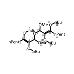 CCCCCC(OCCCC)=C(OCCCC)C(OC)OC(OC)C(OCCCC)=C(CCCCC)OCCCC